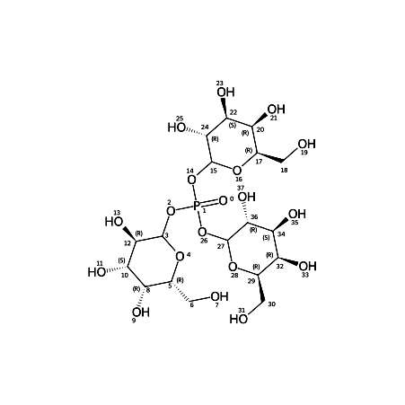 O=P(OC1O[C@H](CO)[C@H](O)[C@H](O)[C@H]1O)(OC1O[C@H](CO)[C@H](O)[C@H](O)[C@H]1O)OC1O[C@H](CO)[C@H](O)[C@H](O)[C@H]1O